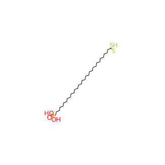 O=P(O)(O)CCCCCCCCCCCCCCCCCCCCCCCCCCCCCCC(=S)S